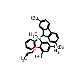 C=CCOc1c(C(C)(C)C)cc(C)cc1[Si](C)(c1ccccc1)C1c2cc(C(C)(C)C)ccc2-c2ccc(C(C)(C)C)cc21